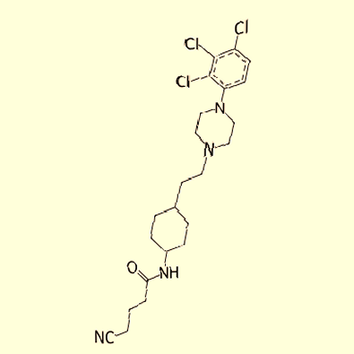 N#CCCCC(=O)NC1CCC(CCN2CCN(c3ccc(Cl)c(Cl)c3Cl)CC2)CC1